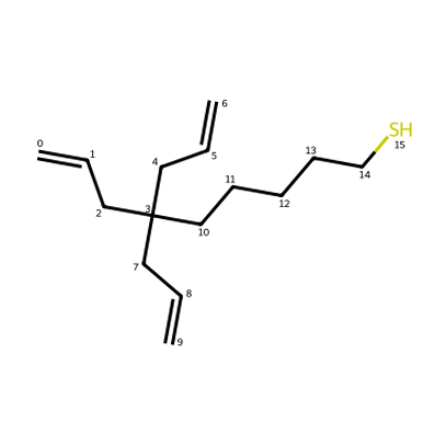 C=CCC(CC=C)(CC=C)CCCCCS